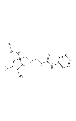 CCO[Si](CCCNC(=O)Nc1ccncc1)(OCC)OCC